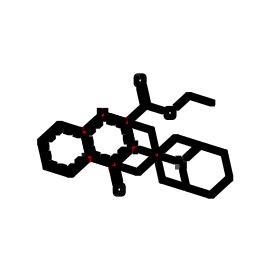 CCOC(=O)c1nc2ccccc2c(=O)n1C1CC2CCCC(C1)N2C1CC2CCCC(C2)C1